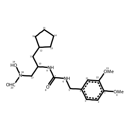 COc1ccc(CNC(=O)NC(CC2CCCC2)CN(O)C=O)cc1OC